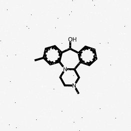 Cc1ccc2c(c1)N1CCN(C)CC1c1ccccc1C2O